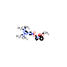 CCOC(=O)C1(C(=O)N2CCCC2COC(=O)N2CCN(c3cc(N(CC)CC)nc(N(CC)CC)n3)CC2)CCCCC1